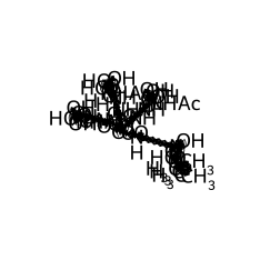 CC(=O)N[C@H]1[C@H](OCNCCCNC(=O)CCO[C@H]2[C@H](OCCC(=O)NCCCNC(=O)O[C@@H]3O[C@H](CO)[C@H](O)[C@H](O)[C@H]3NC(C)=O)[C@@H](OCCC(=O)NCCCNC(=O)O[C@@H]3O[C@H](CO)[C@H](O)[C@H](O)[C@H]3NC(C)=O)CO[C@@H]2COCCNC(=O)CCCCCCCCCCC(=O)N2C[C@H](O)C[C@H]2COP(=O)(O)OCC(C)[C@]2(C)CC(C)CCC(C)C2C)O[C@H](CO)[C@H](O)[C@@H]1O